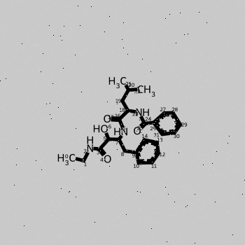 CCNC(=O)C(O)C(Cc1ccccc1)NC(=O)C(CC(C)C)NC(=O)c1ccccc1